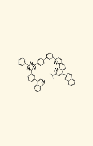 CC(C)c1cc(-c2ccc3ccccc3c2)c2ccc3ccc(-c4cccc(-c5ccc(-c6nc(-c7ccccc7)nc(-c7cccc(-c8cncc9ccccc89)c7)n6)cc5)c4)nc3c2n1